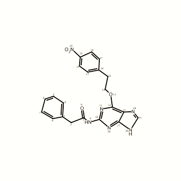 O=C(Cc1ccccc1)Nc1nc(OCCc2ccc([N+](=O)[O-])cc2)c2nc[nH]c2n1